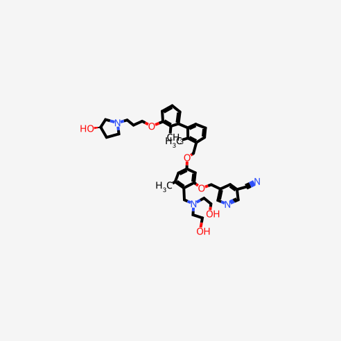 Cc1cc(OCc2cccc(-c3cccc(OCCCN4CC[C@@H](O)C4)c3C)c2C)cc(OCc2cncc(C#N)c2)c1CN(CCO)CCO